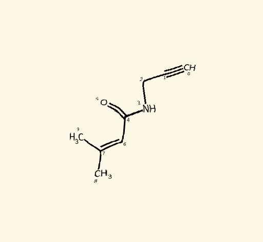 C#CCNC(=O)C=C(C)C